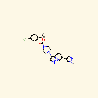 C[C@@H](OC(=O)N1CCN(c2cnn3cc(-c4cnn(C)c4)ccc23)CC1)c1ccc(Cl)cc1